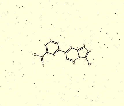 O=[N+]([O-])c1cccc(-c2cnn3c(Br)cnc3n2)c1